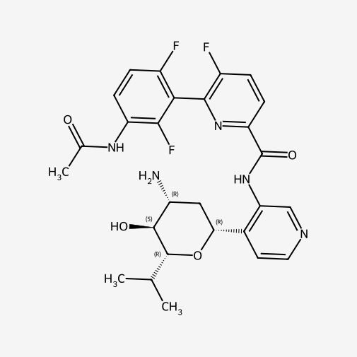 CC(=O)Nc1ccc(F)c(-c2nc(C(=O)Nc3cnccc3[C@H]3C[C@@H](N)[C@H](O)[C@@H](C(C)C)O3)ccc2F)c1F